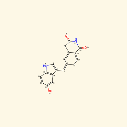 O=C1CC2=CC(=Cc3c[nH]c4ccc(O)cc34)CC=C2C(=O)N1